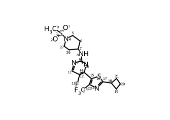 CS(=O)(=O)N1CCC(Nc2ncc(F)c(-c3sc(C4CCC4)nc3C(F)(F)F)n2)CC1